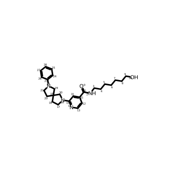 O=C(NCCCCCCCO)c1ccnc(N2CCC3(CCN(c4ccccc4)C3)C2)c1